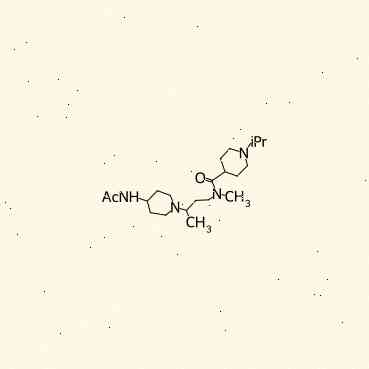 CC(=O)NC1CCN(C(C)CCN(C)C(=O)C2CCN(C(C)C)CC2)CC1